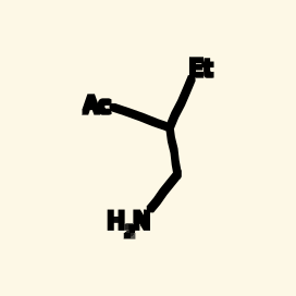 CCC(CN)C(C)=O